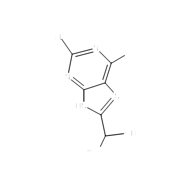 CC(O)c1nc2c(Cl)nc(Cl)nc2[nH]1